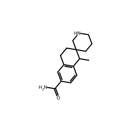 CC1c2ccc(C(N)=O)cc2CCC12CCCNC2